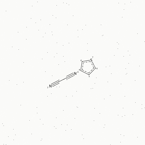 N#CC#N.c1ccsc1